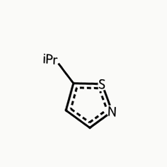 CC(C)c1ccns1